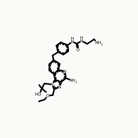 CCOCc1nc2c(N)nc3cc(Cc4ccc(NC(=O)NCCN)cc4)ccc3c2n1CC(C)(C)O